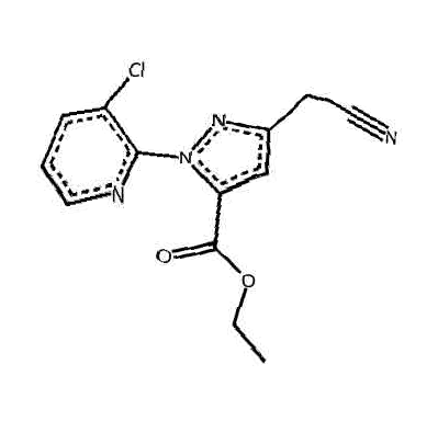 CCOC(=O)c1cc(CC#N)nn1-c1ncccc1Cl